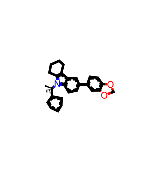 C[C@H](c1ccccc1)n1c2c(c3cc(-c4ccc5c(c4)OCO5)ccc31)CCCC2